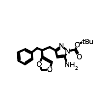 CC(C)(C)OC(=O)n1nc(CC(Cc2ccccc2)C2=COCO2)cc1N